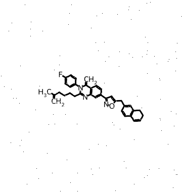 C=C(C)CCCCC1=Nc2cc(-c3cc(Cc4ccc5c(c4)CCC=C5)on3)ccc2C(=C)N1c1ccc(F)cc1